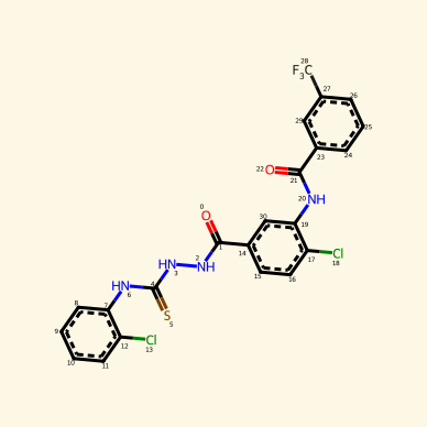 O=C(NNC(=S)Nc1ccccc1Cl)c1ccc(Cl)c(NC(=O)c2cccc(C(F)(F)F)c2)c1